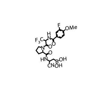 COc1ccc(C(=O)NC(C(=O)N2CCCC2C(=O)NC(C#N)CB(O)O)C(F)(F)F)cc1F